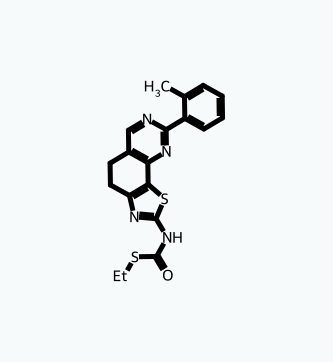 CCSC(=O)Nc1nc2c(s1)-c1nc(-c3ccccc3C)ncc1CC2